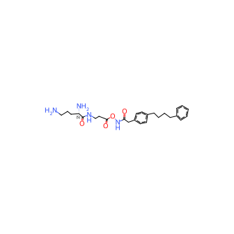 NCCC[C@H](N)C(=O)NCCC(=O)ONC(=O)Cc1ccc(CCCCc2ccccc2)cc1